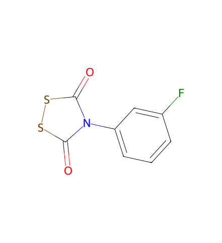 O=c1ssc(=O)n1-c1cccc(F)c1